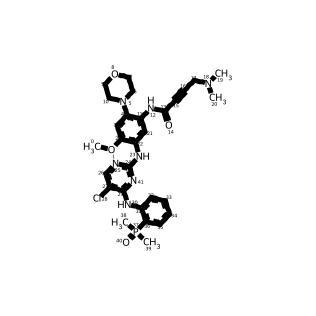 COc1cc(N2CCOCC2)c(NC(=O)C#CCN(C)C)cc1Nc1ncc(Cl)c(Nc2ccccc2P(C)(C)=O)n1